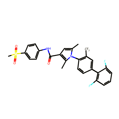 Cc1cc(C(=O)Nc2ccc(S(C)(=O)=O)cc2)c(C)n1-c1ccc(-c2c(F)cccc2F)cc1C(F)(F)F